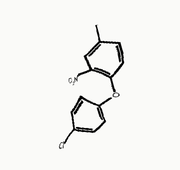 [CH2]c1ccc(Oc2ccc(Cl)cc2)c([N+](=O)[O-])c1